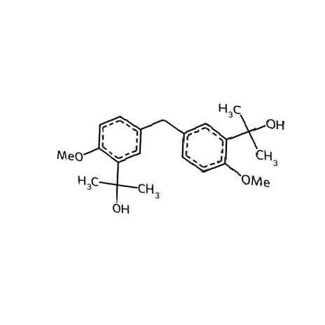 COc1ccc(Cc2ccc(OC)c(C(C)(C)O)c2)cc1C(C)(C)O